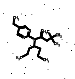 CCCC(CCC)N(C(=O)CC(C)(C)C)c1ncc(CC)cn1